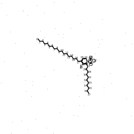 CCCCCCCCCCCCCCCCCCc1cc[n+](S(=O)(=O)[O-])c(CCCCCCCCCCC)c1F